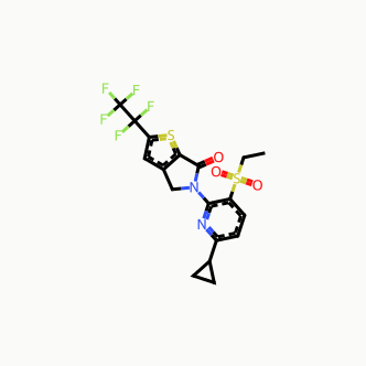 CCS(=O)(=O)c1ccc(C2CC2)nc1N1Cc2cc(C(F)(F)C(F)(F)F)sc2C1=O